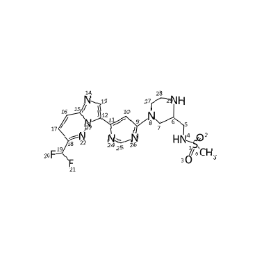 CS(=O)(=O)NCC1CN(c2cc(-c3cnc4ccc(C(F)F)nn34)ncn2)CCN1